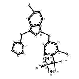 Cc1ccc2c(c1)c(Cc1ccccc1)cn2Cc1ccc(C(F)(F)P(=O)(O)O)c(Br)c1